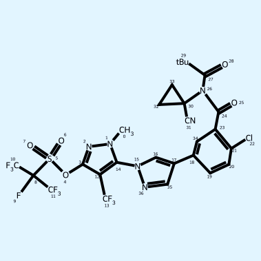 Cn1nc(OS(=O)(=O)C(F)(C(F)(F)F)C(F)(F)F)c(C(F)(F)F)c1-n1cc(-c2ccc(Cl)c(C(=O)N(C(=O)C(C)(C)C)C3(C#N)CC3)c2)cn1